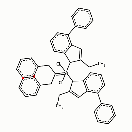 CCC1=Cc2c(-c3ccccc3)cccc2[CH]1[Zr]([Cl])([Cl])(=[C](Cc1ccccc1)Cc1ccccc1)[CH]1C(CC)=Cc2c(-c3ccccc3)cccc21